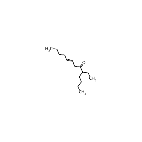 CCCCC=CCC(=O)C(CC)CCCC